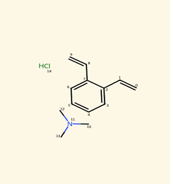 C=Cc1ccccc1C=C.CN(C)C.Cl